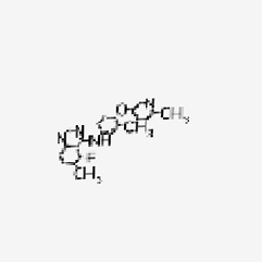 Cc1ccc(Oc2ccc(Nc3ncnc4ccc(C)c(F)c34)cc2C)cn1